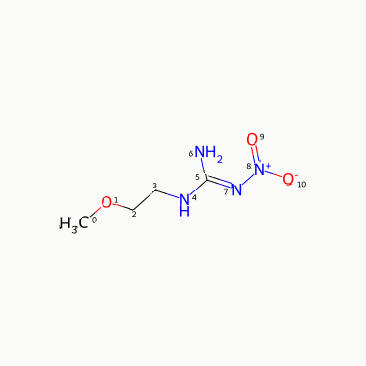 COCCN/C(N)=N/[N+](=O)[O-]